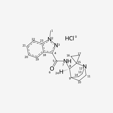 Cl.Cn1nc(C(=O)N[C@@H]2C3CCN(CC3)C23CC3)c2ccccc21